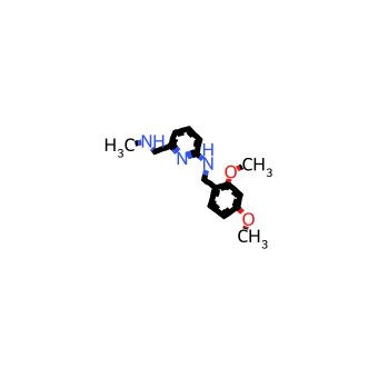 CNCc1cccc(NCc2ccc(OC)cc2OC)n1